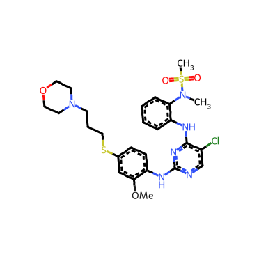 COc1cc(SCCCN2CCOCC2)ccc1Nc1ncc(Cl)c(Nc2ccccc2N(C)S(C)(=O)=O)n1